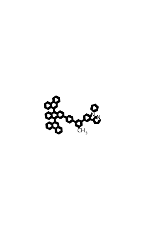 Cc1cc(-c2ccc(-c3ccc4c(-c5cc6ccccc6c6ccccc56)c5ccccc5c(-c5cc6ccccc6c6ccccc56)c4c3)cc2)cc(-c2ccc3c(c2)c2cccnc2n3-c2ccccc2)c1